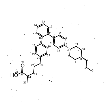 CCC[C@H]1CC[C@H](c2ccc(-c3ccccc3-c3ccc(CCCC(C)C(=O)O)cc3)cc2)CC1